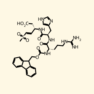 CS(=O)(=O)/C=C/[C@H](CC(=O)O)NC(=O)[C@@H](Cc1c[nH]cn1)NC(=O)[C@H](CCCNC(=N)N)NC(=O)OCC1c2ccccc2-c2ccccc21